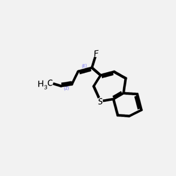 C/C=C\C=C(\F)C1=CCC2=C(CCC=C2)SC1